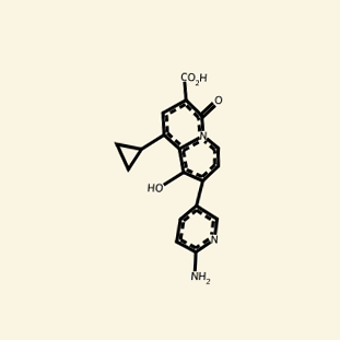 Nc1ccc(-c2ccn3c(=O)c(C(=O)O)cc(C4CC4)c3c2O)cn1